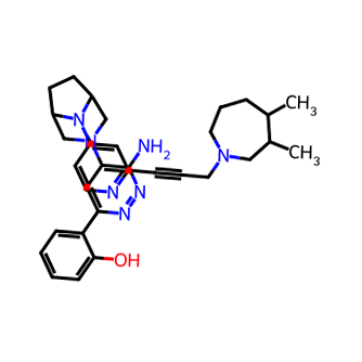 CC1CCCN(CC#Cc2cc(N3C4CCC3CN(c3cc(-c5ccccc5O)nnc3N)C4)ccn2)CC1C